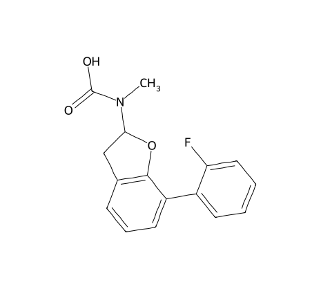 CN(C(=O)O)C1Cc2cccc(-c3ccccc3F)c2O1